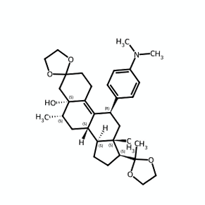 C[C@H]1C[C@@H]2C(=C3CCC4(C[C@@]31O)OCCO4)[C@@H](c1ccc(N(C)C)cc1)C[C@]1(C)[C@@H](C3(C)OCCO3)CC[C@@H]21